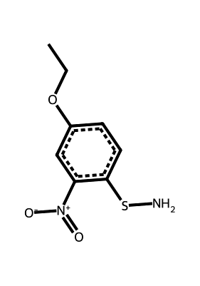 CCOc1ccc(SN)c([N+](=O)[O-])c1